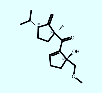 C=C1[C@@H](C(C)C)CC[C@]1(C)C(=O)C1=CCC[C@@]1(O)COC